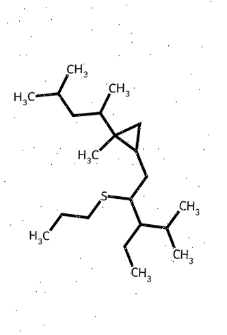 CCCSC(CC1CC1(C)C(C)CC(C)C)C(CC)C(C)C